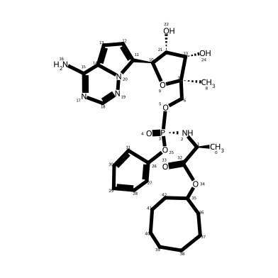 C[C@H](N[P@](=O)(OC[C@@]1(C)O[C@@H](c2ccc3c(N)ncnn23)[C@H](O)[C@@H]1O)Oc1ccccc1)C(=O)OC1CCCCCCC1